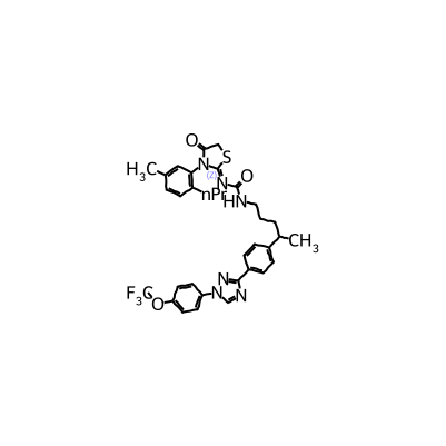 CCCc1ccc(C)cc1N1C(=O)CS/C1=N\C(=O)NCCCC(C)c1ccc(-c2ncn(-c3ccc(OC(F)(F)F)cc3)n2)cc1